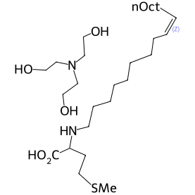 CCCCCCCC/C=C\CCCCCCCCNC(CCSC)C(=O)O.OCCN(CCO)CCO